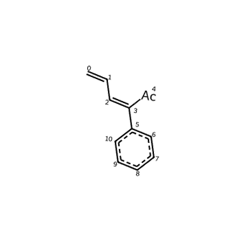 C=CC=C(C(C)=O)c1ccccc1